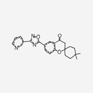 CC1(C)CCC2(CC1)CC(=O)c1cc(-c3nc(-c4cccnc4)no3)ccc1O2